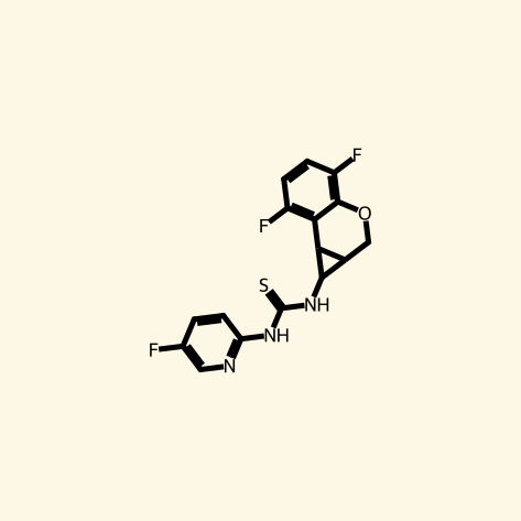 Fc1ccc(NC(=S)NC2C3COc4c(F)ccc(F)c4C32)nc1